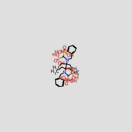 CCC(CC)(N(Cc1ccccc1O)C(P(=O)(O)O)P(=O)(O)O)C(CC)(CC)N(Cc1ccccc1O)C(P(=O)(O)O)P(=O)(O)O